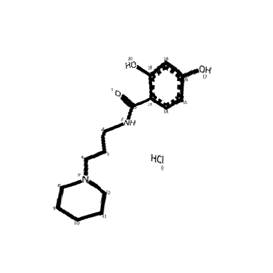 Cl.O=C(NCCCN1CCCCC1)c1ccc(O)cc1O